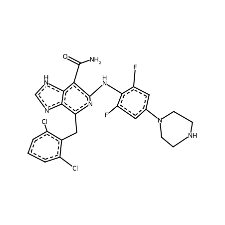 NC(=O)c1c(Nc2c(F)cc(N3CCNCC3)cc2F)nc(Cc2c(Cl)cccc2Cl)c2nc[nH]c12